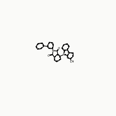 N#Cc1ccc2c3ccccc3n(-c3cccc4c3C(=O)N(c3cccc(-c5ccccc5)c3)C4=O)c2c1